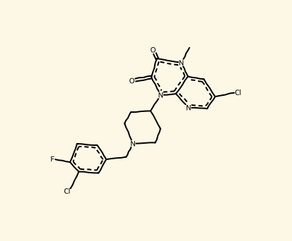 Cn1c(=O)c(=O)n(C2CCN(Cc3ccc(F)c(Cl)c3)CC2)c2ncc(Cl)cc21